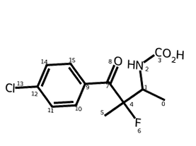 CC(NC(=O)O)C(C)(F)C(=O)c1ccc(Cl)cc1